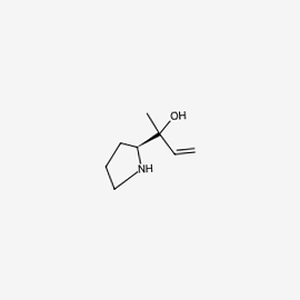 C=CC(C)(O)[C@@H]1CCCN1